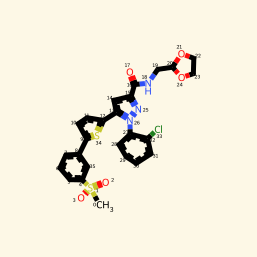 CS(=O)(=O)c1cccc(-c2ccc(-c3cc(C(=O)NCC4OCCO4)nn3-c3ccccc3Cl)s2)c1